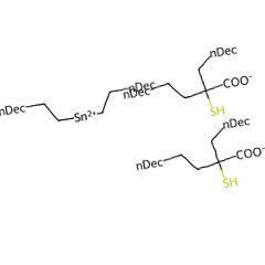 CCCCCCCCCCCCC(S)(CCCCCCCCCCC)C(=O)[O-].CCCCCCCCCCCCC(S)(CCCCCCCCCCC)C(=O)[O-].CCCCCCCCCCC[CH2][Sn+2][CH2]CCCCCCCCCCC